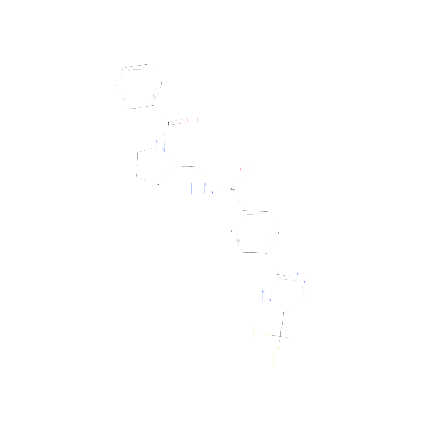 O=C(NCC1CCCN1C(=O)c1ccccc1)c1ccc(-c2noc(C(F)(F)F)n2)cc1